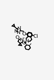 C[C@H]1CCCC[C@H]1C(=O)N1CCc2c(Cl)ccc(OCc3nnc(C4CC4)n3C)c2[C@H]1CN1CC2(CC2)CC1=O